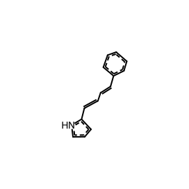 C(C=Cc1ccc[nH]1)=Cc1ccccc1